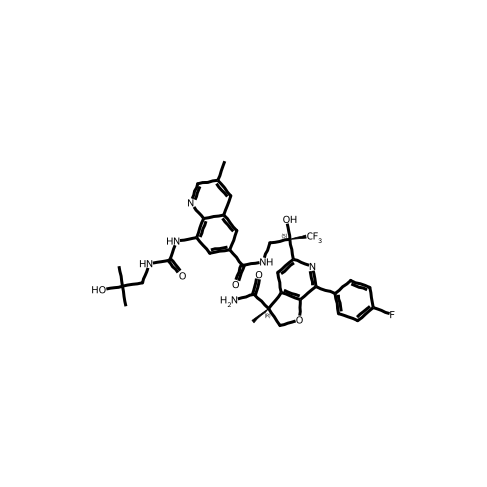 Cc1cnc2c(NC(=O)NCC(C)(C)O)cc(C(=O)NC[C@](O)(c3cc4c(c(-c5ccc(F)cc5)n3)OC[C@]4(C)C(N)=O)C(F)(F)F)cc2c1